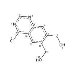 OCc1cc2ncnc(Cl)c2cc1CO